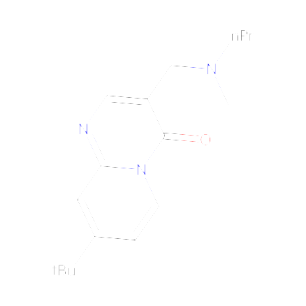 CCCN(C)Cc1cnc2cc(C(C)(C)C)ccn2c1=O